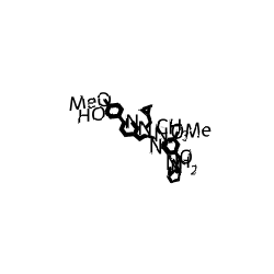 COc1ccc(-c2ccc3cc(-c4nc5cc(C(=O)N6CC7CCC6C7N)cc(OC)c5n4C)n(CC4CC4)c3n2)cc1O